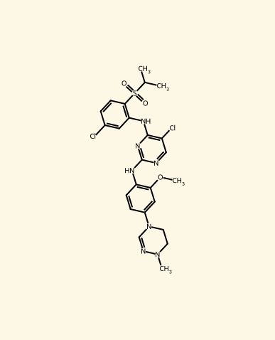 COc1cc(N2C=NN(C)CC2)ccc1Nc1ncc(Cl)c(Nc2cc(Cl)ccc2S(=O)(=O)C(C)C)n1